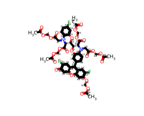 CC(=O)OCOC(=O)CN(CC(=O)OCOC(C)=O)c1ccc(F)cc1OCCOc1cc(-c2c3cc(F)c(=O)cc-3oc3cc(OCOC(C)=O)c(F)cc23)ccc1N(CC(=O)OCOC(C)=O)CC(=O)OCOC(C)=O